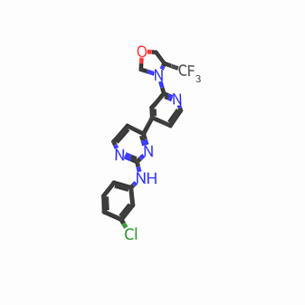 FC(F)(F)C1COCN1c1cc(-c2ccnc(Nc3cccc(Cl)c3)n2)ccn1